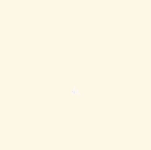 Nc1cccc2c1C=CC=CC2